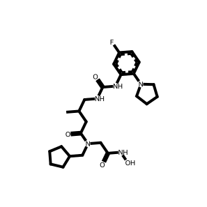 CC(CNC(=O)Nc1cc(F)ccc1N1CCCC1)CC(=O)N(CC(=O)NO)CC1CCCC1